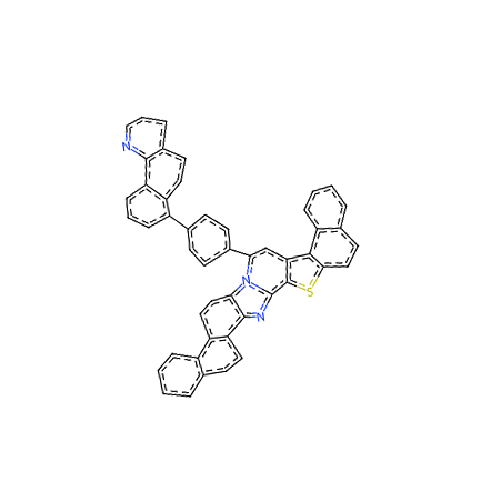 c1ccc2c(c1)ccc1c2ccc2c1nc1c3sc4ccc5ccccc5c4c3cc(-c3ccc(-c4cccc5c4ccc4cccnc45)cc3)n21